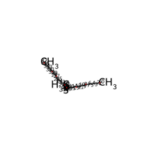 CCCCCCCCCCCCCCCCCCP(=S)(CCCCCCCCCCCCCCCCCC)SC